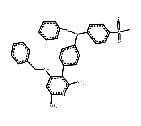 CS(=O)(=O)c1ccc(N(Cc2ccccc2)c2ccc(-c3c(NCc4ccccc4)cc(N)nc3N)cc2)cc1